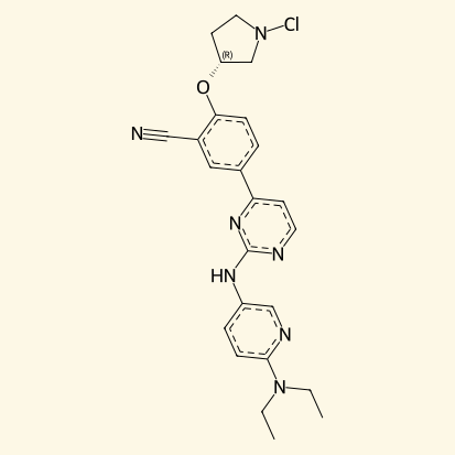 CCN(CC)c1ccc(Nc2nccc(-c3ccc(O[C@@H]4CCN(Cl)C4)c(C#N)c3)n2)cn1